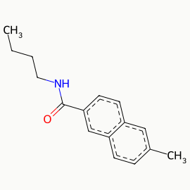 CCCCNC(=O)c1ccc2cc(C)ccc2c1